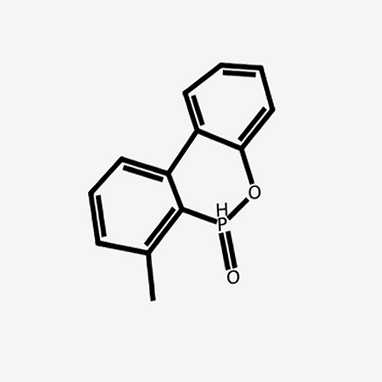 Cc1cccc2c1[PH](=O)Oc1ccccc1-2